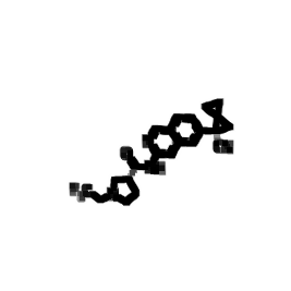 N#C[C@@]1(c2ccc3cnc(NC(=O)[C@@H]4CCN(CC(F)(F)F)C4)cc3c2)CC12CC2